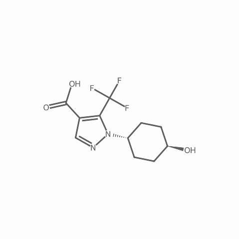 O=C(O)c1cnn([C@H]2CC[C@H](O)CC2)c1C(F)(F)F